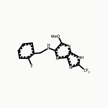 COc1nc2[nH]c(C(F)(F)F)nc2nc1NCc1ccccc1F